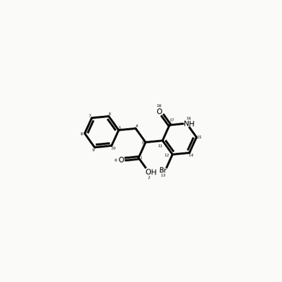 O=C(O)C(Cc1ccccc1)c1c(Br)cc[nH]c1=O